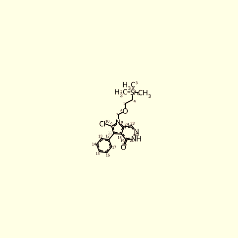 C[Si](C)(C)CCOCn1c(Cl)c(-c2ccccc2)c2c(=O)[nH]ncc21